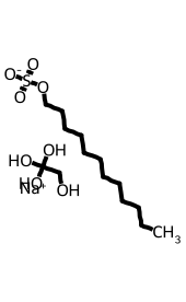 CCCCCCCCCCCCOS(=O)(=O)[O-].OCC(O)(O)O.[Na+]